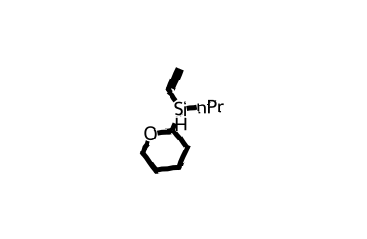 C=C[SiH](CCC)C1CCCCO1